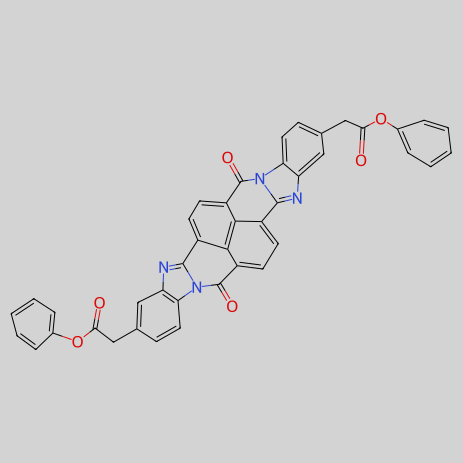 O=C(Cc1ccc2c(c1)nc1c3ccc4c(=O)n5c6ccc(CC(=O)Oc7ccccc7)cc6nc5c5ccc(c(=O)n21)c3c45)Oc1ccccc1